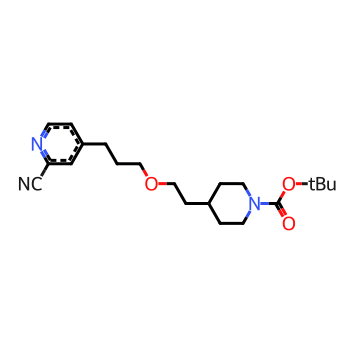 CC(C)(C)OC(=O)N1CCC(CCOCCCc2ccnc(C#N)c2)CC1